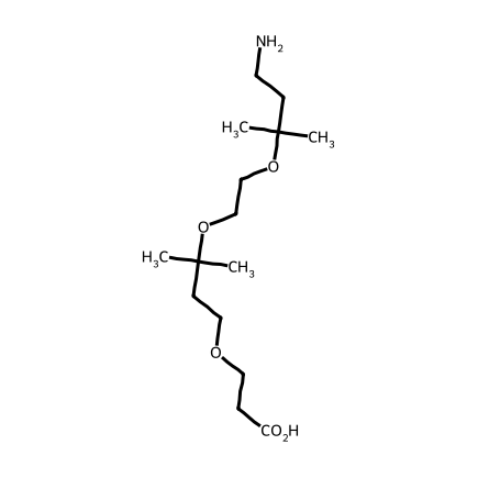 CC(C)(CCN)OCCOC(C)(C)CCOCCC(=O)O